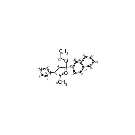 CCOC(CCn1ccnc1)(OCC)c1ccc2ccccc2c1